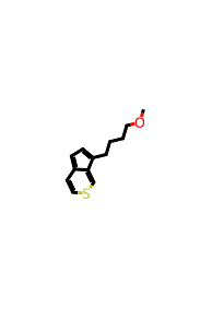 COCCCCc1ccc2ccscc1-2